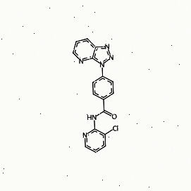 O=C(Nc1ncccc1Cl)c1ccc(-n2nnc3cccnc32)cc1